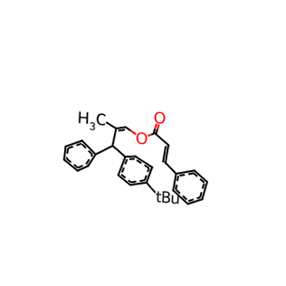 CC(=COC(=O)C=Cc1ccccc1)C(c1ccccc1)c1ccc(C(C)(C)C)cc1